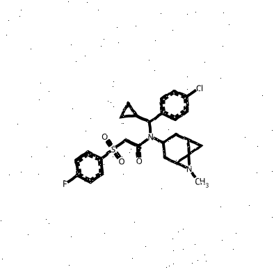 CN1C2CC(N(C(=O)CS(=O)(=O)c3ccc(F)cc3)C(c3ccc(Cl)cc3)C3CC3)CC3CC321